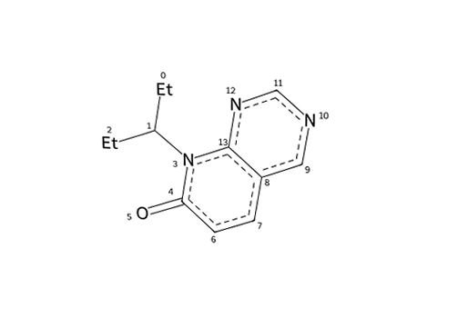 CCC(CC)n1c(=O)ccc2cncnc21